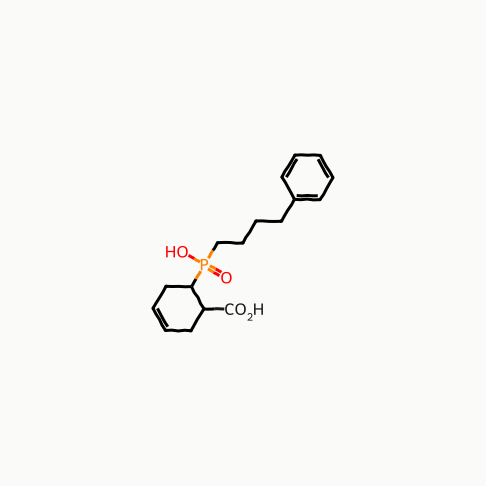 O=C(O)C1CC=CCC1P(=O)(O)CCCCc1ccccc1